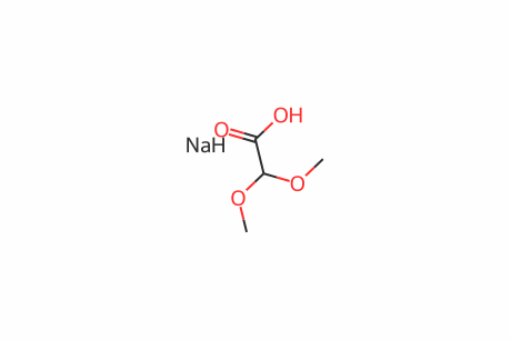 COC(OC)C(=O)O.[NaH]